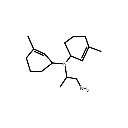 CC1=CC(N(C(C)CN)C2C=C(C)CCC2)CCC1